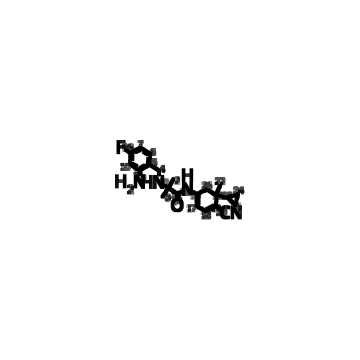 CC(C)(NCc1ccc(F)cc1N)C(=O)NC1=CC=C(C#N)C(C)(C2CC2)C1